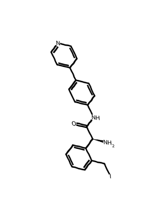 N[C@H](C(=O)Nc1ccc(-c2ccncc2)cc1)c1ccccc1CI